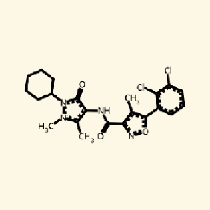 Cc1c(C(=O)Nc2c(C)n(C)n(C3CCCCC3)c2=O)noc1-c1cccc(Cl)c1Cl